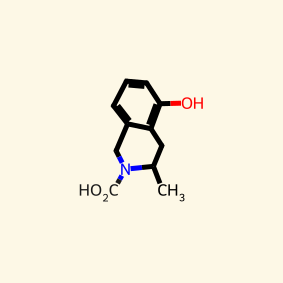 CC1Cc2c(O)cccc2CN1C(=O)O